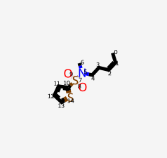 C/C=C\CCN(C)S(=O)(=O)c1cccs1